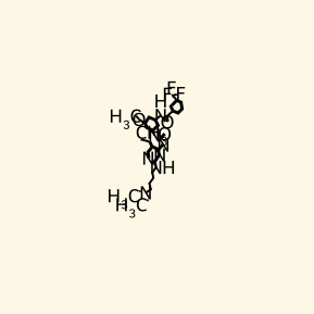 CCc1c2cnc(NCCCCN(CC)CC)nc2nc(=O)n1-c1cc(NC(=O)c2cccc(C(F)(F)F)c2)cc(OC)c1